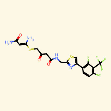 NC(=O)/C=C(\N)SCC(=O)CC(=O)NCc1nc(-c2ccc(F)c(C(F)(F)F)c2F)cs1